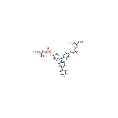 C=C(C=O)COC(=O)CCc1ccc(N(c2ccc(CCC(=O)OCC(=C)C=O)cc2)c2ccc(-c3ccccc3)cc2)cc1